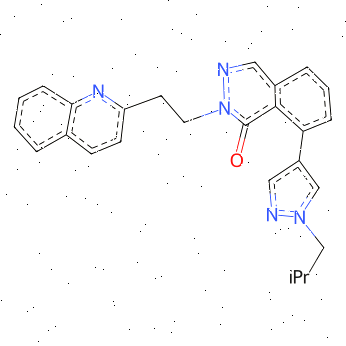 CC(C)Cn1cc(-c2cccc3cnn(CCc4ccc5ccccc5n4)c(=O)c23)cn1